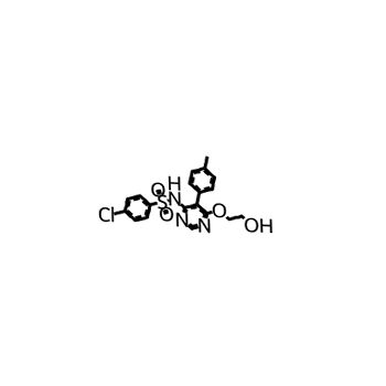 Cc1ccc(-c2c(NS(=O)(=O)c3ccc(Cl)cc3)ncnc2OCCO)cc1